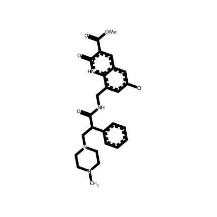 COC(=O)c1cc2cc(Cl)cc(CNC(=O)C(CN3CCN(C)CC3)c3ccccc3)c2[nH]c1=O